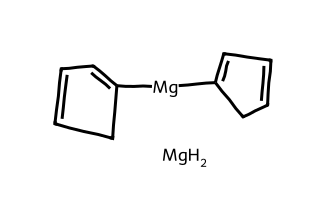 C1=CC[C]([Mg][C]2=CC=CC2)=C1.[MgH2]